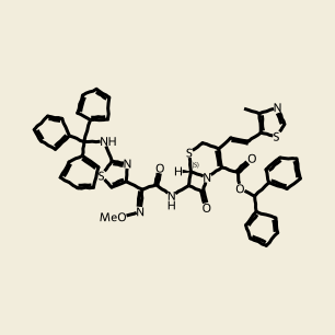 CON=C(C(=O)NC1C(=O)N2C(C(=O)OC(c3ccccc3)c3ccccc3)=C(C=Cc3scnc3C)CS[C@@H]12)c1csc(NC(c2ccccc2)(c2ccccc2)c2ccccc2)n1